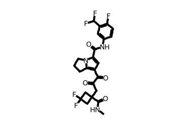 CNC(=O)C1(CC(=O)C(=O)c2cc(C(=O)Nc3ccc(F)c(C(F)F)c3)n3c2CCC3)CC(F)(F)C1